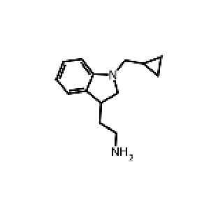 NCCC1CN(CC2CC2)c2ccccc21